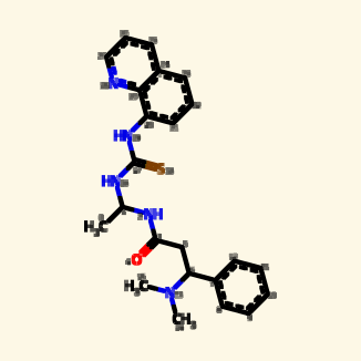 CC(NC(=O)CC(c1ccccc1)N(C)C)NC(=S)Nc1cccc2cccnc12